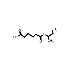 CCC(C)OC(=O)CCCCC(=O)O